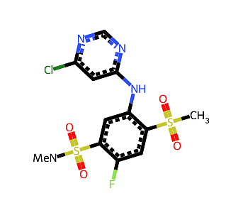 CNS(=O)(=O)c1cc(Nc2cc(Cl)ncn2)c(S(C)(=O)=O)cc1F